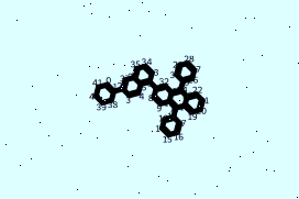 C1=C(c2ccc3c(-c4ccc5c(-c6ccccc6)c6ccccc6c(-c6ccccc6)c5c4)cccc3c2)CCCC1